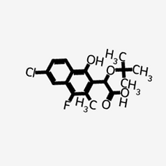 Cc1c(C(OC(C)(C)C)C(=O)O)c(O)c2ccc(Cl)cc2c1F